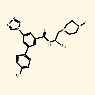 Cc1ccc(-c2cc(C(=O)N[C@H](C)CN3CC[S+]([O-])CC3)cc(-n3cnnn3)c2)cc1